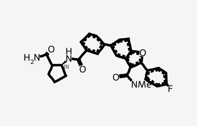 CNC(=O)c1c(-c2ccc(F)cc2)oc2ccc(-c3cccc(C(=O)N[C@H]4CCCC4C(N)=O)c3)cc12